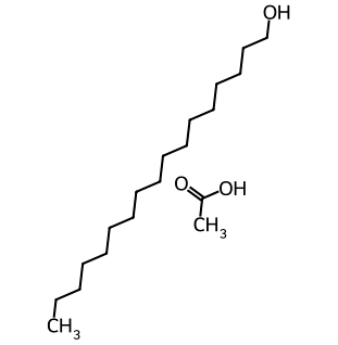 CC(=O)O.CCCCCCCCCCCCCCCCCO